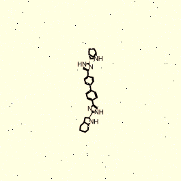 c1cc(-c2c[nH]c([C@@H]3CC4CCCCC4N3)n2)ccc1-c1ccc(-c2c[nH]c([C@H]3NC4CCC3C4)n2)cc1